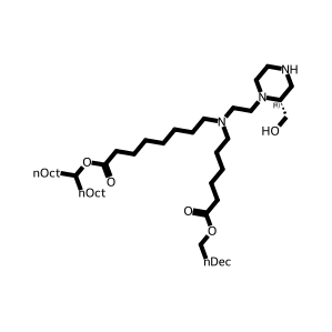 CCCCCCCCCCCOC(=O)CCCCCN(CCCCCCCC(=O)OC(CCCCCCCC)CCCCCCCC)CCN1CCNC[C@@H]1CO